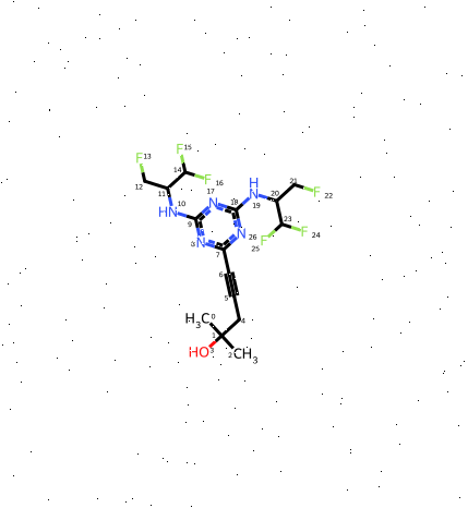 CC(C)(O)CC#Cc1nc(NC(CF)C(F)F)nc(NC(CF)C(F)F)n1